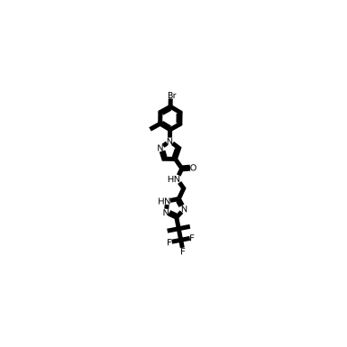 Cc1cc(Br)ccc1-n1cc(C(=O)NCc2nc(C(C)(C)C(F)(F)F)n[nH]2)cn1